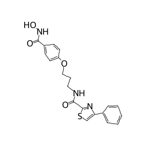 O=C(NO)c1ccc(OCCCNC(=O)c2nc(-c3ccccc3)cs2)cc1